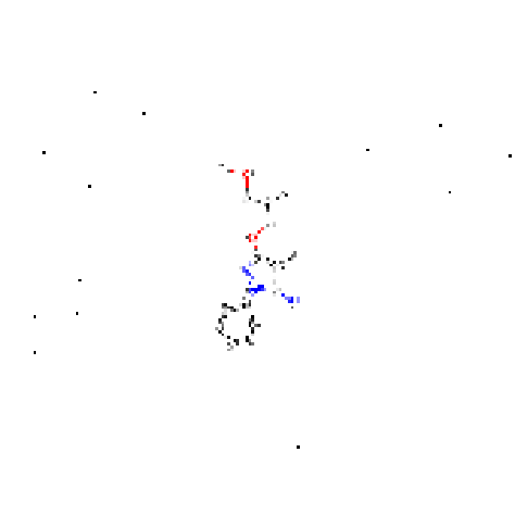 COCC(C)COc1nn(-c2ccccc2)c(N)c1C